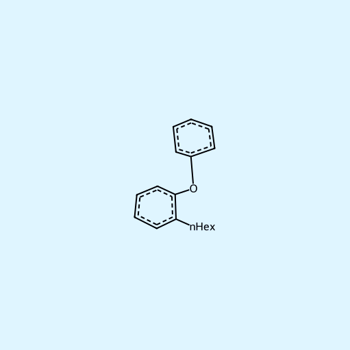 CCCCCCc1ccccc1Oc1ccccc1